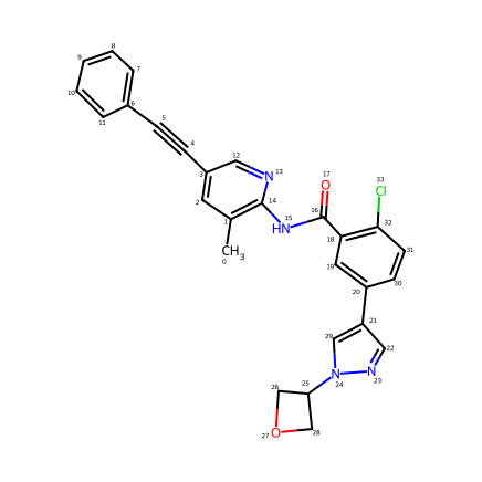 Cc1cc(C#Cc2ccccc2)cnc1NC(=O)c1cc(-c2cnn(C3COC3)c2)ccc1Cl